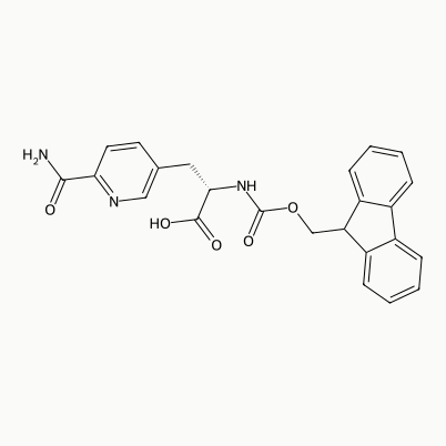 NC(=O)c1ccc(C[C@H](NC(=O)OCC2c3ccccc3-c3ccccc32)C(=O)O)cn1